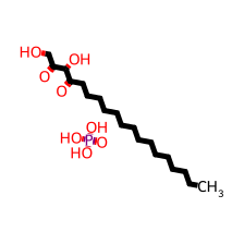 CCCCCCCCCCCCCCCC(=O)C(O)C(=O)CO.O=P(O)(O)O